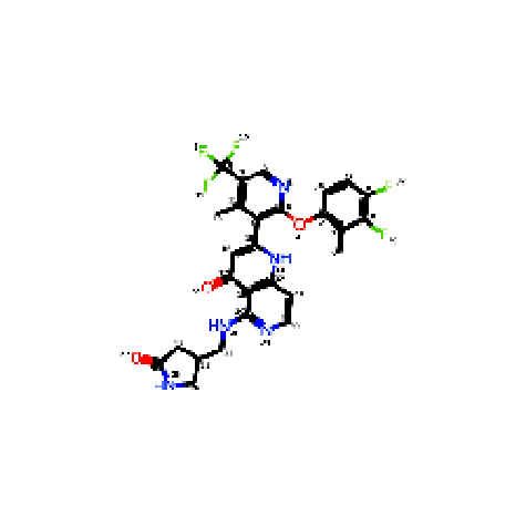 Cc1c(Oc2ncc(C(F)(F)F)c(C)c2-c2cc(=O)c3c(NCC4CNC(=O)C4)nccc3[nH]2)ccc(F)c1F